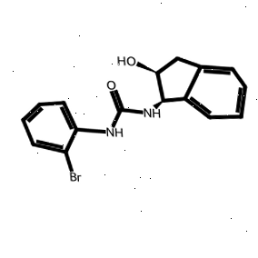 O=C(Nc1ccccc1Br)N[C@@H]1c2ccccc2C[C@@H]1O